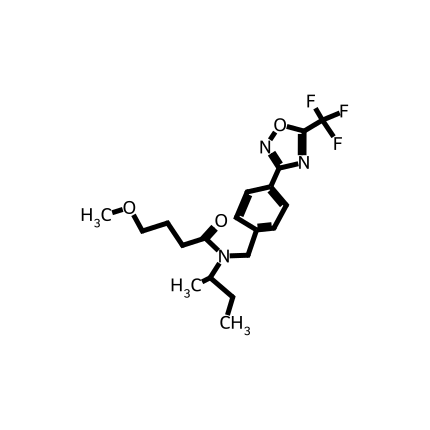 CCC(C)N(Cc1ccc(-c2noc(C(F)(F)F)n2)cc1)C(=O)CCCOC